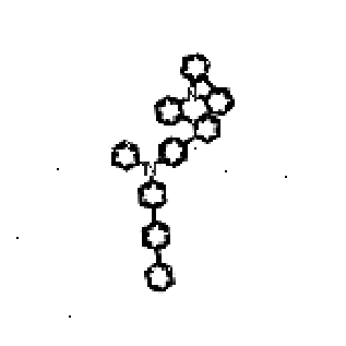 c1ccc(-c2ccc(-c3ccc(N(c4ccccc4)c4ccc(-c5ccccc5-c5ccccc5-n5c6ccccc6c6ccccc65)cc4)cc3)cc2)cc1